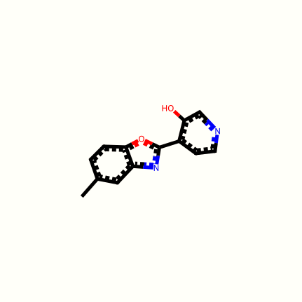 Cc1ccc2oc(-c3ccncc3O)nc2c1